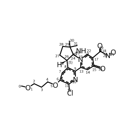 COCCCOc1cc2c(nc1Cl)-c1cc(=O)c(C(=O)N=O)cn1[C@@]1(N)[C@H]2CCC1(C)C